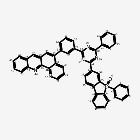 O=P1(c2ccccc2)c2ccccc2-c2ccc(-c3nc(-c4ccccc4)nc(-c4cccc(-c5cc6cc7ccccc7nc6c6ncccc56)c4)n3)cc21